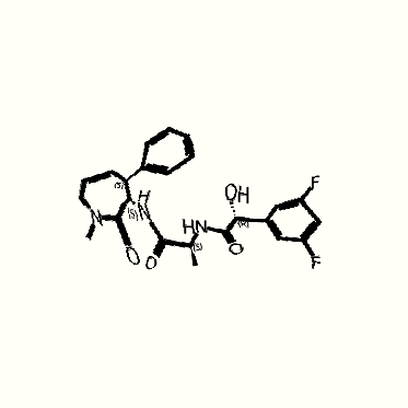 C[C@H](NC(=O)[C@H](O)c1cc(F)cc(F)c1)C(=O)N[C@@H]1C(=O)N(C)CC=C[C@H]1c1ccccc1